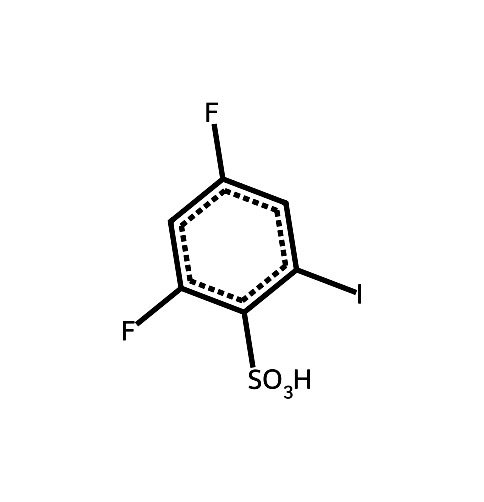 O=S(=O)(O)c1c(F)cc(F)cc1I